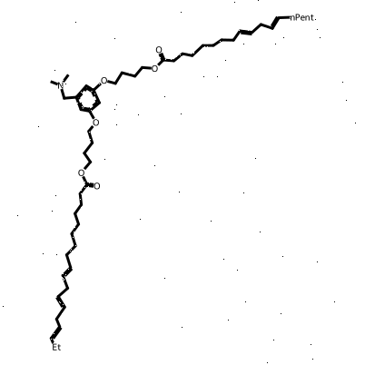 CCC=CCC=CCC=CCCCCCCCC(=O)OCCCCOc1cc(CN(C)C)cc(OCCCCOC(=O)CCCCCCCC=CCC=CCCCCC)c1